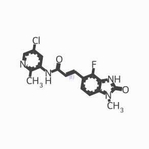 Cc1ncc(Cl)cc1NC(=O)/C=C/c1ccc2c([nH]c(=O)n2C)c1F